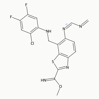 C=N/C=N\c1ccc2nc(C(=N)OC)sc2c1CNc1cc(F)c(F)cc1Cl